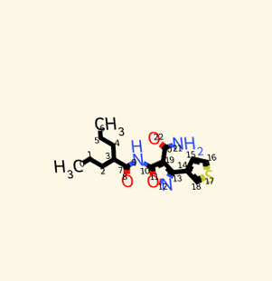 CCCC(CCC)C(=O)Nc1onc(-c2ccsc2)c1C(N)=O